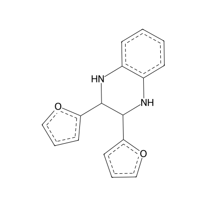 c1coc(C2Nc3ccccc3NC2c2ccco2)c1